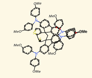 COc1ccc(N(c2ccc(OC)cc2)c2ccc3c(c2)C2(CC4(c5cc(N(c6ccc(OC)cc6)c6ccc(OC)cc6)ccc5-c5ccc(N(c6ccc(OC)cc6)c6ccc(OC)cc6)cc54)c4ccsc4-c4sccc42)c2cc(N(c4ccc(OC)cc4)c4ccc(OC)cc4)ccc2-3)cc1